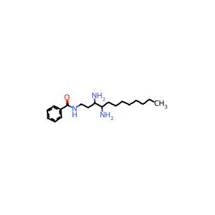 CCCCCCCCC(N)C(N)CCNC(=O)c1ccccc1